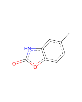 Cc1ccc2oc(=O)[nH]c2c1